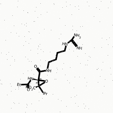 CCC(=O)N[C@@]1(C(=O)NCCCCNC(=N)N)O[C@]1(C(=O)O)C(C)C